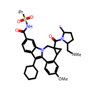 CNCC1CCC(I)N1C(=O)C12CC1c1cc(OC)ccc1-c1c(C3CCCCC3)c3ccc(C(=O)NS(=O)(=O)C(C)C)cc3n1C2